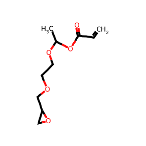 C=CC(=O)OC(C)OCCOCC1CO1